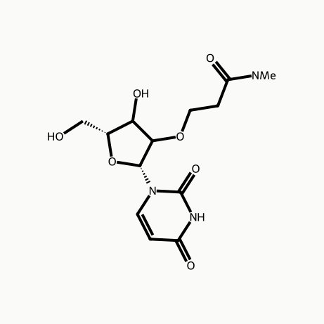 CNC(=O)CCOC1C(O)[C@@H](CO)O[C@H]1n1ccc(=O)[nH]c1=O